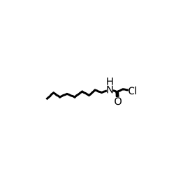 CCCCCCCCCNC(=O)CCl